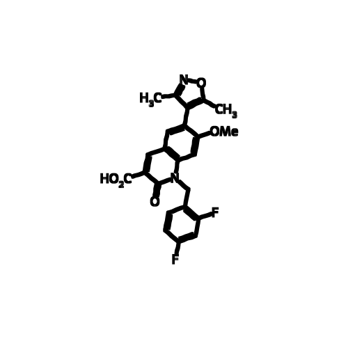 COc1cc2c(cc1-c1c(C)noc1C)cc(C(=O)O)c(=O)n2Cc1ccc(F)cc1F